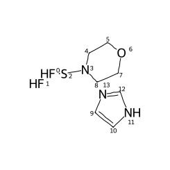 F.F.[S]N1CCOCC1.c1c[nH]cn1